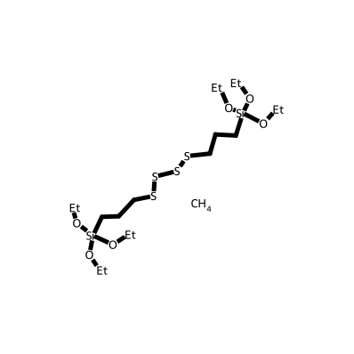 C.CCO[Si](CCCSSSSCCC[Si](OCC)(OCC)OCC)(OCC)OCC